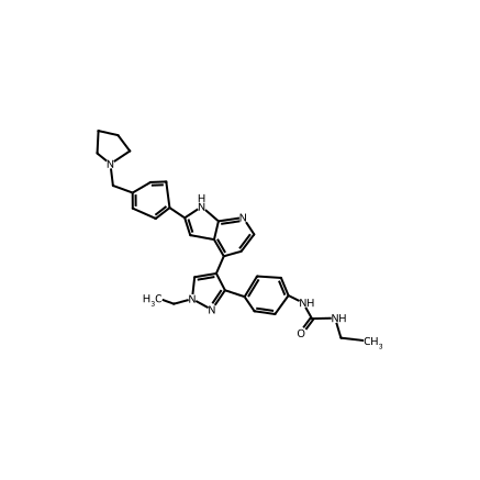 CCNC(=O)Nc1ccc(-c2nn(CC)cc2-c2ccnc3[nH]c(-c4ccc(CN5CCCC5)cc4)cc23)cc1